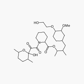 COC1CC(CC(C)C(C)OC(=O)C2CCCCN2C(=O)C(=O)C2(O)OC(C)CCC2C)CCC1OCCO